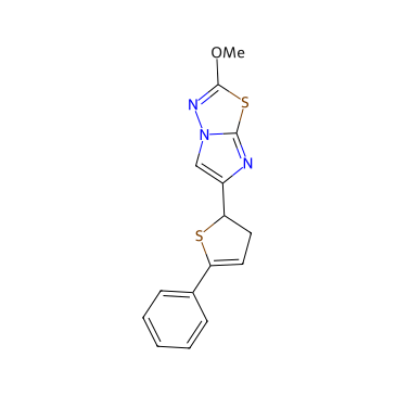 COc1nn2cc(C3CC=C(c4ccccc4)S3)nc2s1